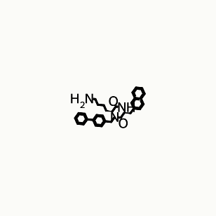 NCCCC[C@H]1C(=O)N[C@@H](Cc2ccc3ccccc3c2)C(=O)N1Cc1ccc(-c2ccccc2)cc1